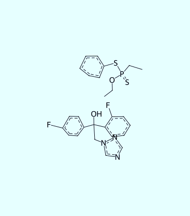 CCOP(=S)(CC)Sc1ccccc1.OC(Cn1cncn1)(c1ccc(F)cc1)c1ccccc1F